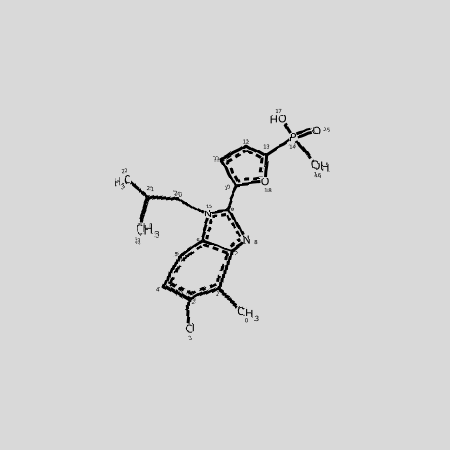 Cc1c(Cl)ccc2c1nc(-c1ccc(P(=O)(O)O)o1)n2CC(C)C